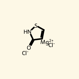 O=c1ccs[nH]1.[Cl-].[Cl-].[Mg+2]